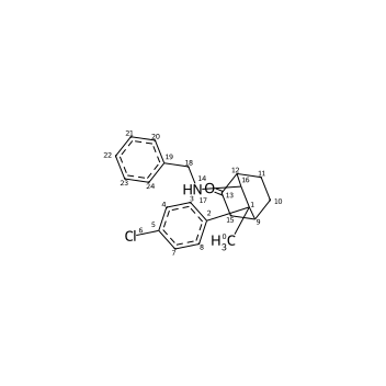 CC1(c2ccc(Cl)cc2)C2CCC(C(=O)C2)C1NCc1ccccc1